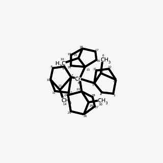 CC1C2CC[C]1([Cr]([C]13CCC(CC1)C3C)([C]13CCC(CC1)C3C)[C]13CCC(CC1)C3C)CC2